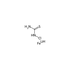 NC(=S)NCl.[Fe].[LiH]